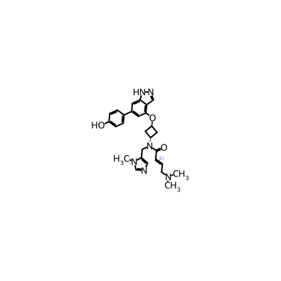 CN(C)C/C=C/C(=O)N(Cc1cncn1C)[C@H]1C[C@H](Oc2cc(-c3ccc(O)cc3)cc3[nH]ncc23)C1